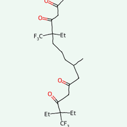 CCC(CC)(C(=O)CC(=O)CC(C)CCCC(CC)(C(=O)CC(=O)C(C)C)C(F)(F)F)C(F)(F)F